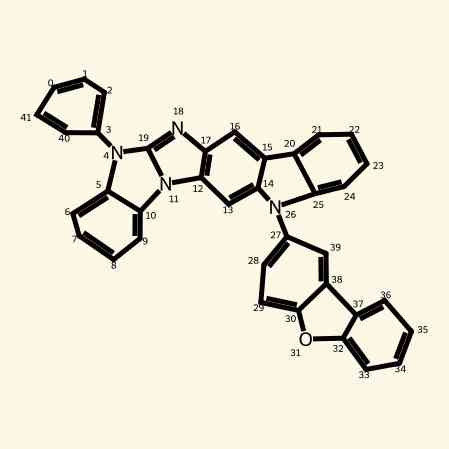 c1ccc(-n2c3ccccc3n3c4cc5c(cc4nc23)c2ccccc2n5-c2ccc3oc4ccccc4c3c2)cc1